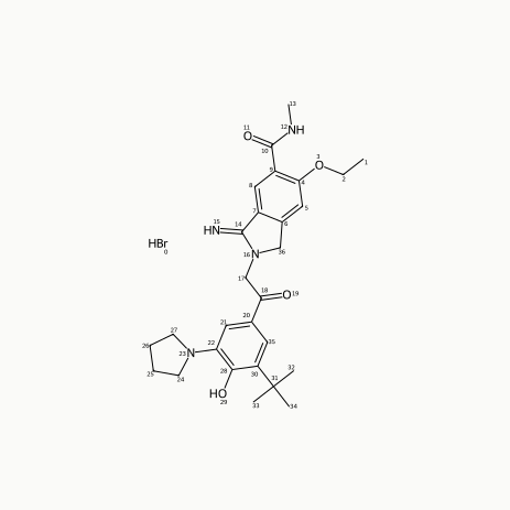 Br.CCOc1cc2c(cc1C(=O)NC)C(=N)N(CC(=O)c1cc(N3CCCC3)c(O)c(C(C)(C)C)c1)C2